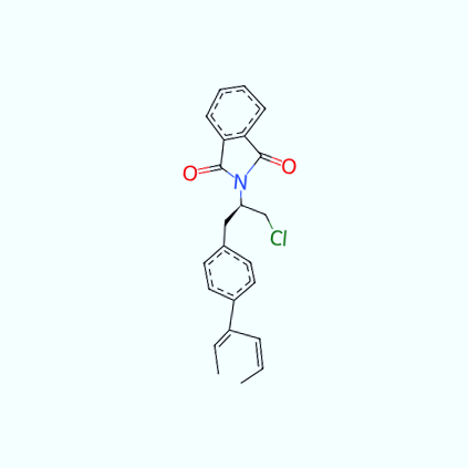 C/C=C\C(=C/C)c1ccc(C[C@H](CCl)N2C(=O)c3ccccc3C2=O)cc1